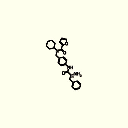 N[C@H](Cc1ccccc1)C(=O)Nc1ccc(CN(C(=O)c2ccco2)C2CCCCC2)cc1